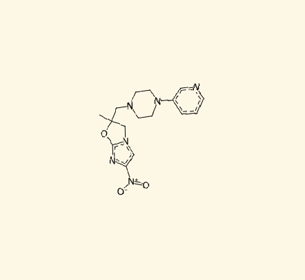 CC1(CN2CCN(c3cccnc3)CC2)Cn2cc([N+](=O)[O-])nc2O1